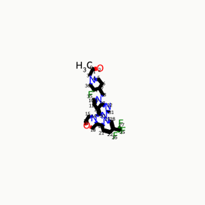 CC(=O)CN1CCC(Cn2ccc3c(N4CCOCC4c4ccc(C(F)(F)F)cn4)ncnc32)C(F)C1